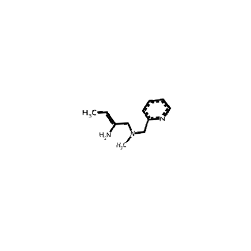 C/C=C(\N)CN(C)Cc1ccccn1